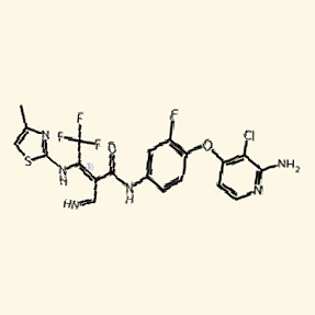 Cc1csc(N/C(=C(\C=N)C(=O)Nc2ccc(Oc3ccnc(N)c3Cl)c(F)c2)C(F)(F)F)n1